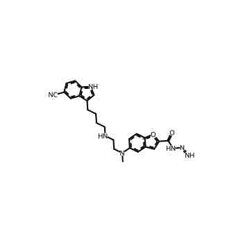 CN(CCNCCCCc1c[nH]c2ccc(C#N)cc12)c1ccc2oc(C(=O)NN=N)cc2c1